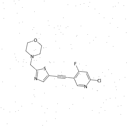 Fc1cc(Cl)ncc1C#Cc1cnc(CN2CCOCC2)s1